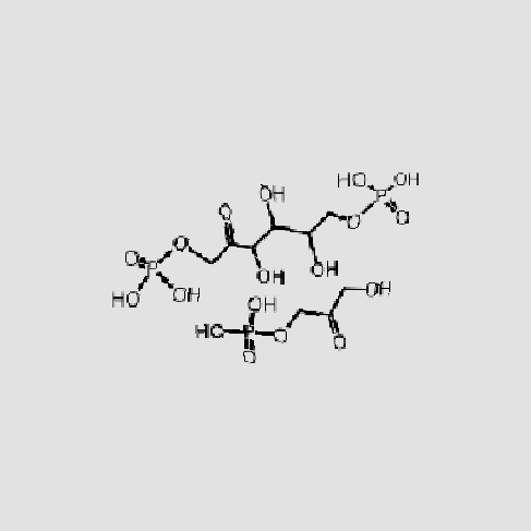 O=C(CO)COP(=O)(O)O.O=C(COP(=O)(O)O)C(O)C(O)C(O)COP(=O)(O)O